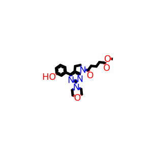 COC(=O)CCCC(=O)N1CCc2c(-c3cccc(O)c3)nc(N3CCOCC3)nc21